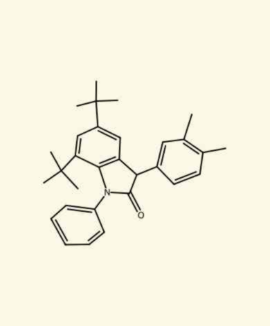 Cc1ccc(C2C(=O)N(c3ccccc3)c3c2cc(C(C)(C)C)cc3C(C)(C)C)cc1C